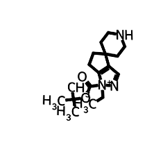 CC[N+]1(C(=O)OC(C)(C)C)N=CC2=C1CCC21CCNCC1